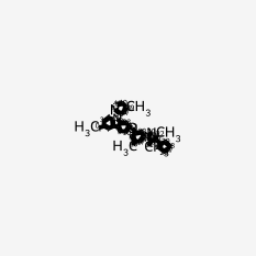 CCc1ccc2c(c1)c1ccc(Oc3cc(C)cc(-n4nc(C)c(-c5ccccc5)c4C)c3)cc1n2-c1cc(C)ccn1